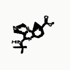 COC(=O)c1ccc2nc(NC(C)(C)C)c3cncn3c2c1